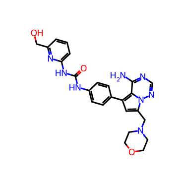 Nc1ncnn2c(CN3CCOCC3)cc(-c3ccc(NC(=O)Nc4cccc(CO)n4)cc3)c12